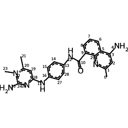 Cc1cc(N)c2cccc(C(=O)Nc3ccc(Nc4cc(C)[n+](C)c(N)n4)cc3)c2n1